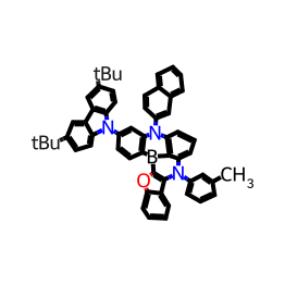 Cc1cccc(N2c3cccc4c3B(c3ccc(-n5c6ccc(C(C)(C)C)cc6c6cc(C(C)(C)C)ccc65)cc3N4c3ccc4ccccc4c3)c3oc4ccccc4c32)c1